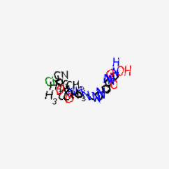 CC1(C)[C@H](NC(=O)c2ccc(N3CC(CN4CCN(c5ccc6c(=O)n(C7CC[C@@H](O)NC7=O)ncc6c5)CC4)C3)cc2)C(C)(C)[C@H]1Oc1ccc(C#N)c(Cl)c1